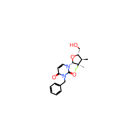 C[C@@H]1[C@@H](CO)O[C@@H](n2ccc(=O)n(Cc3ccccc3)c2=O)[C@]1(C)F